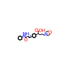 NN(C(=O)C=Cc1ccc(C(CCCN2CCOCC2)C(=O)O)cc1)c1ccccc1